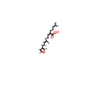 CC(C)=CCC/C(=C/CC/C(C)=C/CCc1ccoc1)C(=O)O